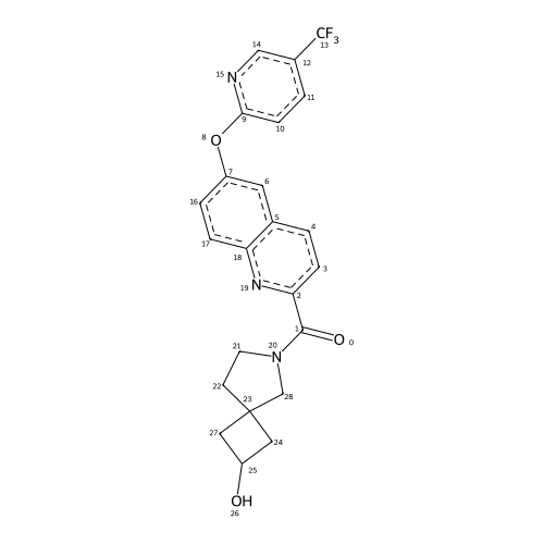 O=C(c1ccc2cc(Oc3ccc(C(F)(F)F)cn3)ccc2n1)N1CCC2(CC(O)C2)C1